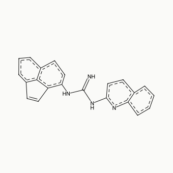 N=C(Nc1ccc2ccccc2n1)Nc1ccc2cccc3c2c1C=C3